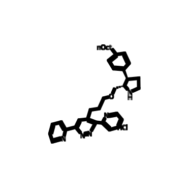 CCCCCCCCc1ccc([C@H]2CCN[C@@H]2COCCCc2cc(-c3ccccn3)nnc2-c2ccccn2)cc1.Cl